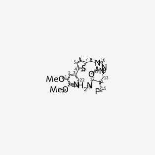 COc1cc(-c2ccc(Cn3cnn(C/C(=C/F)CN)c3=O)s2)cnc1OC